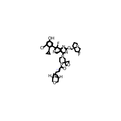 O=C(/C=C/CN1[C@@H]2CC[C@H]1COC2)N1CCN(c2nc(OC[C@@]34CCCN3C[C@H](F)C4)nc3c(F)c(-c4cc(O)cc(Cl)c4C4CC4)ncc23)CC12COC2